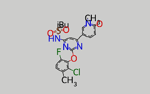 CC[C@H](C)S(=O)(=O)Nc1cc(-c2ccc(=O)n(C)c2)nc(Oc2c(F)ccc(C)c2Cl)n1